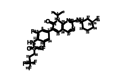 CC(C)n1c(=O)c(-c2cc(F)c(NS(=O)(=O)CCC(F)(F)F)c(F)c2)cc2cnc(N[C@@H]3CCC[C@H](F)C3)nc21